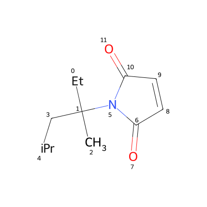 CCC(C)(CC(C)C)N1C(=O)C=CC1=O